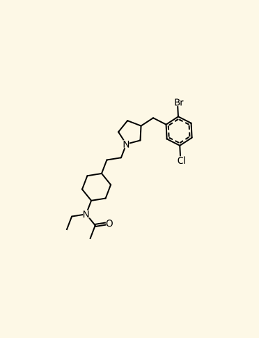 CCN(C(C)=O)C1CCC(CCN2CCC(Cc3cc(Cl)ccc3Br)C2)CC1